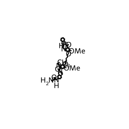 C/C=N\c1cc(OCCCCCOc2cc3c(cc2OC)C(=O)N2Cc4ccccc4C[C@H]2C=N3)c(OC)cc1C(=O)N1CCc2ccc(NC(=O)CN)cc2C1